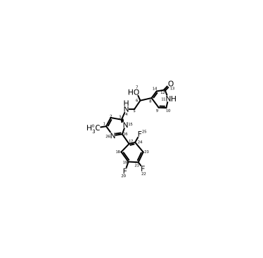 Cc1cc(NCC(O)c2cc[nH]c(=O)c2)nc(-c2cc(F)c(F)cc2F)n1